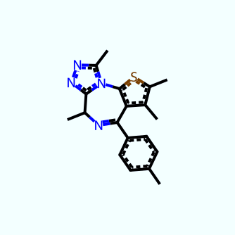 Cc1ccc(C2=NC(C)c3nnc(C)n3-c3sc(C)c(C)c32)cc1